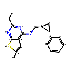 CCc1nc(NC[C@H]2C[C@@H]2c2ccccc2)c2cc(C)sc2n1